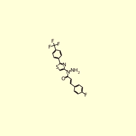 NN(C(=O)C=Cc1ccc(F)cc1)c1csc(-c2ccc(C(F)(F)F)cc2)n1